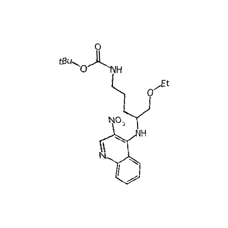 CCOCC(CCCNC(=O)OC(C)(C)C)Nc1c([N+](=O)[O-])cnc2ccccc12